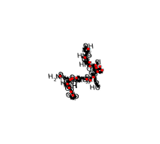 Cc1cccc2c(OC(=O)N(CCOCCO)CCN(C)C(=O)OCc3ccc(NC(=O)[C@H](CCCNC(N)=O)NC(=O)[C@@H](NC(=O)OCCN4C(=O)C=CC4=O)C(C)C)cc3)cc3c(c12)[C@H](CCl)CN3C(=O)c1cc2cc(NC(=O)c3ccc(O)cc3)ncc2[nH]1